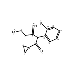 CCCC(=N)C(C(=O)C1CC1)c1ccccc1F